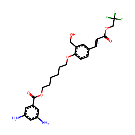 Nc1cc(N)cc(C(=O)OCCCCCCOc2ccc(/C=C/C(=O)OCC(F)(F)F)cc2CO)c1